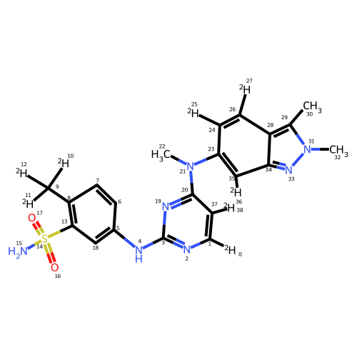 [2H]c1nc(Nc2ccc(C([2H])([2H])[2H])c(S(N)(=O)=O)c2)nc(N(C)c2c([2H])c([2H])c3c(C)n(C)nc3c2[2H])c1[2H]